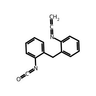 C=C=Nc1ccccc1Cc1ccccc1N=C=O